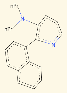 CCCN(CCC)c1cccnc1-c1cccc2ccccc12